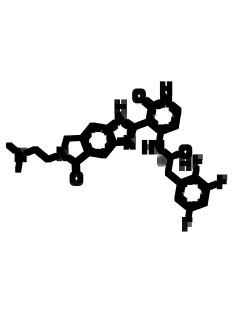 CN(C)CCN1Cc2cc3[nH]c(-c4c(N[C@@H](O)Cc5cc(F)cc(F)c5F)cc[nH]c4=O)nc3cc2C1=O